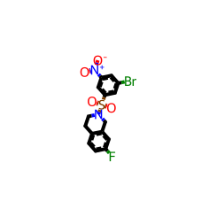 O=[N+]([O-])c1cc(Br)cc(S(=O)(=O)N2CCc3ccc(F)cc3C2)c1